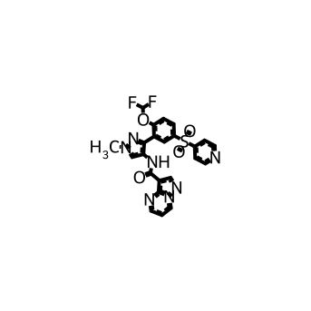 Cn1cc(NC(=O)c2cnn3cccnc23)c(-c2cc(S(=O)(=O)c3ccncc3)ccc2OC(F)F)n1